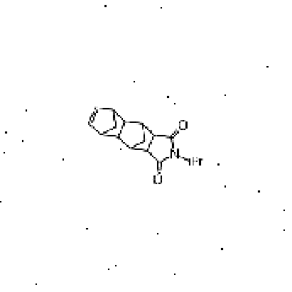 CC(C)N1C(=O)C2C3CC(C2C1=O)C1C2C=CC(C2)C31